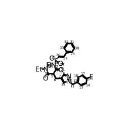 CCN(CC)C(=O)C(Cc1cnn(Cc2ccc(F)cc2)c1)C(=O)NS(=O)(=O)C=Cc1ccccc1